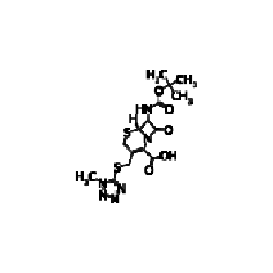 Cn1nnnc1SCC1=C(C(=O)O)N2C(=O)C(NC(=O)OC(C)(C)C)[C@H]2SC1